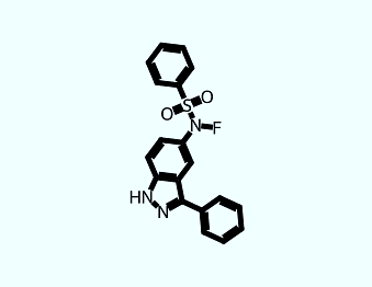 O=S(=O)(c1ccccc1)N(F)c1ccc2[nH]nc(-c3ccccc3)c2c1